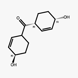 O=C(C1C=C[C@H](O)CC1)[C@H]1C=C[C@@H](O)CC1